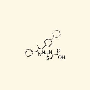 Cc1c(-c2ccccc2)nn(-c2nc(C(=O)O)cs2)c1-c1ccc(C2CCCCC2)cc1